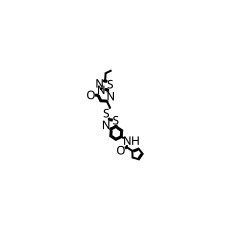 CCc1nn2c(=O)cc(CSc3nc4ccc(NC(=O)C5=CC=CC5)cc4s3)nc2s1